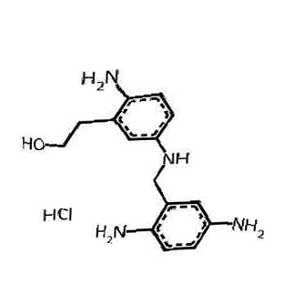 Cl.Nc1ccc(N)c(CNc2ccc(N)c(CCO)c2)c1